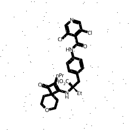 CCCC1=C(N[C@@](CC)(Cc2ccc(NC(=O)c3c(Cl)cncc3Cl)cc2)C(=O)O)C2(CCOCC2)C1=O